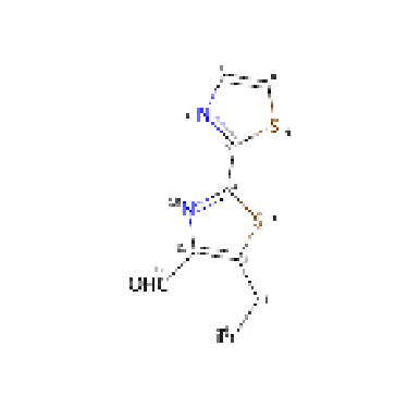 CC(C)Cc1sc(-c2nccs2)nc1C=O